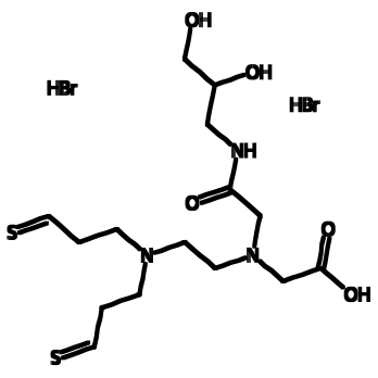 Br.Br.O=C(O)CN(CCN(CCC=S)CCC=S)CC(=O)NCC(O)CO